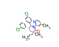 C=CC[C@@]1(C)C[C@H](c2cccc(Cl)c2)[C@@H](c2ccc(Cl)cc2)N(c2cc(C)ccn2)C1=O